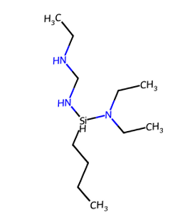 CCCC[SiH](NCNCC)N(CC)CC